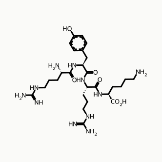 N=C(N)NCCC[C@H](NC(=O)[C@H](Cc1ccc(O)cc1)NC(=O)[C@@H](N)CCCNC(=N)N)C(=O)N[C@@H](CCCCN)C(=O)O